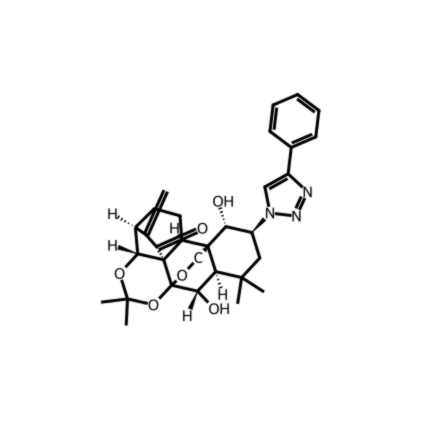 C=C1C(=O)[C@@]23[C@@H]4OC(C)(C)OC25OC[C@]2([C@H](O)[C@@H](n6cc(-c7ccccc7)nn6)CC(C)(C)[C@H]2[C@@H]5O)[C@@H]3CC[C@@H]14